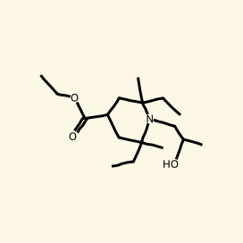 CCOC(=O)C1CC(C)(CC)N(CC(C)O)C(C)(CC)C1